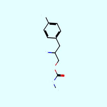 CNC(=O)OCC(N)Cc1ccc(C)cc1